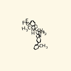 Cc1ccccc1-c1ccc2nc(N)c(CC(C)C(=O)N[C@H](C)c3ccccc3OC(F)F)cc2c1